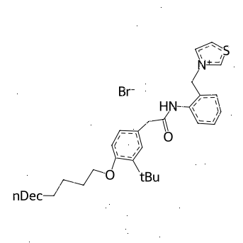 CCCCCCCCCCCCCCOc1ccc(CC(=O)Nc2ccccc2C[n+]2ccsc2)cc1C(C)(C)C.[Br-]